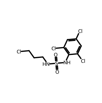 O=S(=O)(NCCCCl)Nc1c(Cl)cc(Cl)cc1Cl